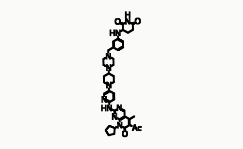 CC(=O)c1c(C)c2cnc(Nc3ccc(N4CCC(N5CCN(Cc6cccc(NC7CCC(=O)NC7=O)c6)CC5)CC4)cn3)nc2n(C2CCCC2)c1=O